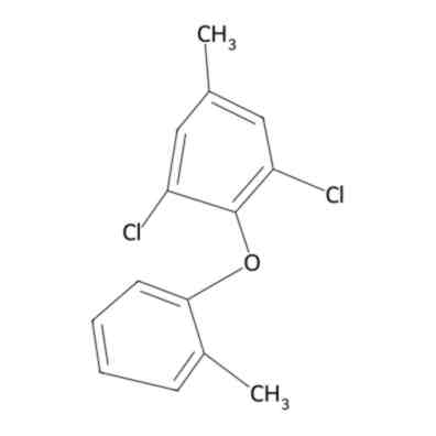 Cc1cc(Cl)c(Oc2ccccc2C)c(Cl)c1